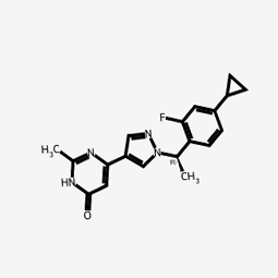 Cc1nc(-c2cnn([C@H](C)c3ccc(C4CC4)cc3F)c2)cc(=O)[nH]1